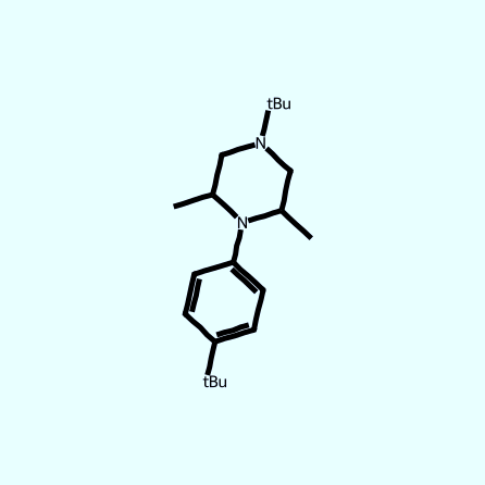 CC1CN(C(C)(C)C)CC(C)N1c1ccc(C(C)(C)C)cc1